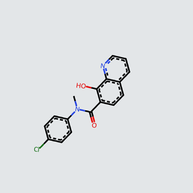 CN(C(=O)c1ccc2cccnc2c1O)c1ccc(Cl)cc1